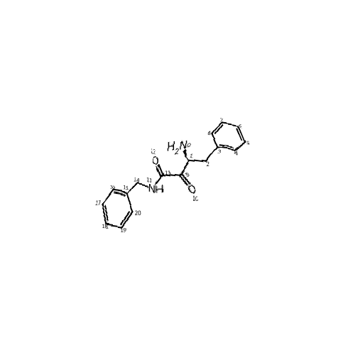 N[C@@H](Cc1ccccc1)C(=O)C(=O)NCc1ccccc1